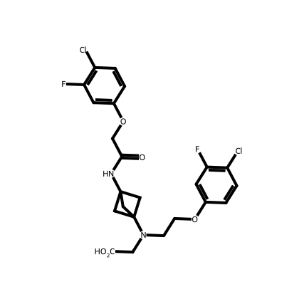 O=C(O)CN(CCOc1ccc(Cl)c(F)c1)C12CC(NC(=O)COc3ccc(Cl)c(F)c3)(C1)C2